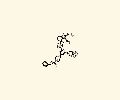 CC1(c2nc(-c3cc(N4CCN(C(=O)OCc5ccccc5)CC4)cc(N4CCC5(CC4)OCCO5)n3)no2)CCCc2sc(N)c(C#N)c21